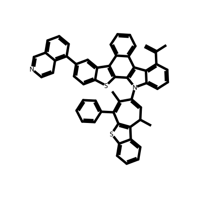 C=C(C)c1cccc2c1c1c3ccccc3c3c4cc(-c5cccc6cnccc56)ccc4sc3c1n2C1=CC(C)c2c(sc3ccccc23)C(c2ccccc2)=C1C